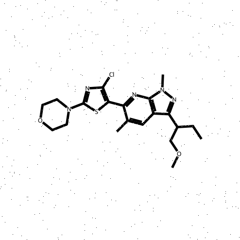 CCC(COC)c1nn(C)c2nc(-c3sc(N4CCOCC4)nc3Cl)c(C)cc12